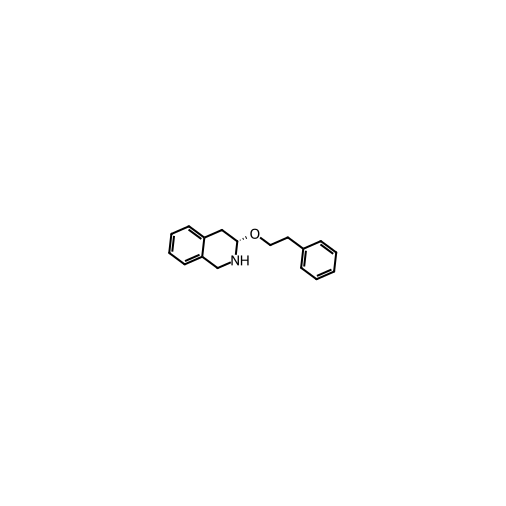 c1ccc(CCO[C@H]2Cc3ccccc3CN2)cc1